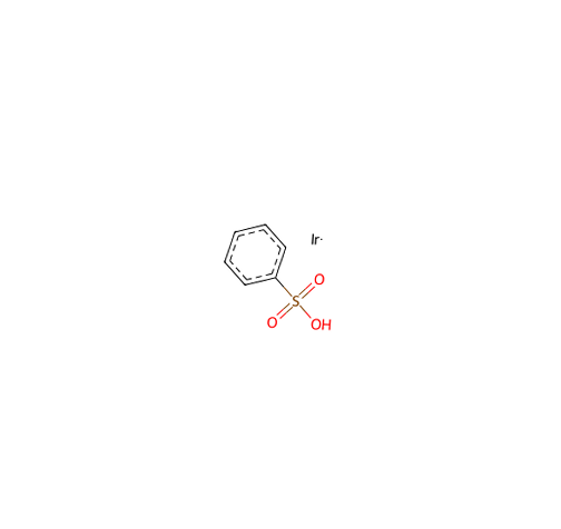 O=S(=O)(O)c1ccccc1.[Ir]